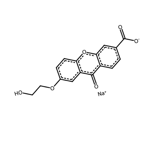 O=C([O-])c1ccc2c(=O)c3cc(OCCO)ccc3oc2c1.[Na+]